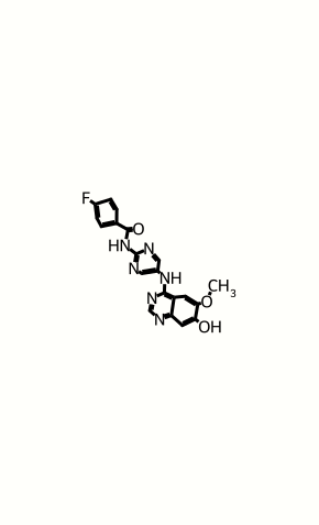 COc1cc2c(Nc3cnc(NC(=O)c4ccc(F)cc4)nc3)ncnc2cc1O